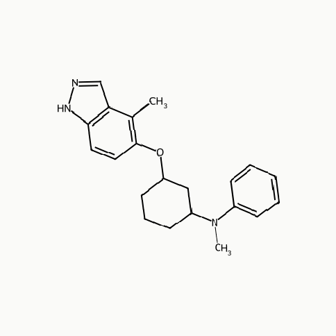 Cc1c(OC2CCCC(N(C)c3ccccc3)C2)ccc2[nH]ncc12